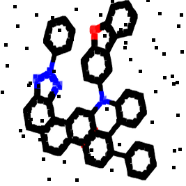 c1ccc(-c2ccccc2-c2ccccc2N(c2ccc3oc4ccccc4c3c2)c2ccc3ccc4ccc5nn(-c6ccccc6)nc5c4c3c2)cc1